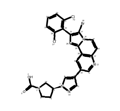 O=C(O)N1CC[C@H](n2cc(-c3cnc4ccn5c(Br)c(-c6c(Cl)cccc6Cl)nc5c4c3)cn2)C1